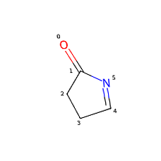 O=C1CCC=N1